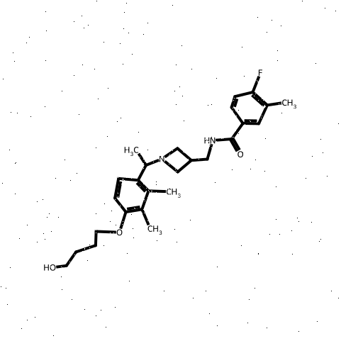 Cc1cc(C(=O)NCC2CN(C(C)c3ccc(OCCCCO)c(C)c3C)C2)ccc1F